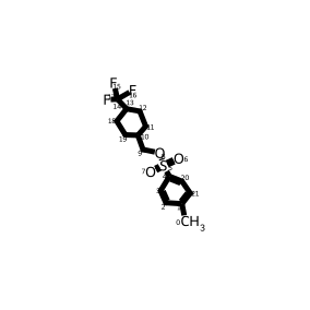 Cc1ccc(S(=O)(=O)OCC2CCC(C(F)(F)F)CC2)cc1